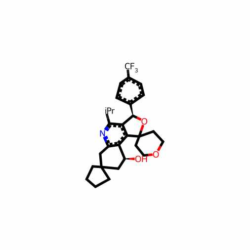 CC(C)c1nc2c(c3c1[C@@H](c1ccc(C(F)(F)F)cc1)OC31CCOCC1)[C@@H](O)CC1(CCCC1)C2